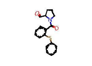 O=CC1CCCN1C(=O)c1ccccc1Sc1ccccc1